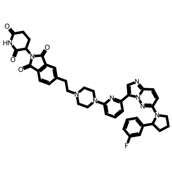 O=C1CCC(N2C(=O)c3ccc(CCN4CCN(c5cccc(-c6cnc7ccc(N8CCCC8c8cccc(F)c8)nn67)n5)CC4)cc3C2=O)C(=O)N1